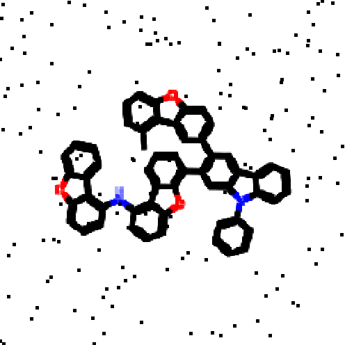 Cc1cccc2oc3ccc(-c4cc5c6ccccc6n(-c6ccccc6)c5cc4-c4cccc5c4oc4cccc(Nc6cccc7oc8ccccc8c67)c45)cc3c12